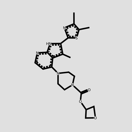 Cc1nc(-c2[nH]c3nccc(N4CCN(C(=O)OC5COC5)CC4)c3c2C)sc1C